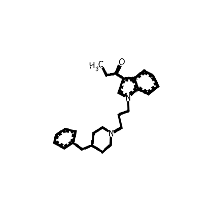 CCC(=O)c1cn(CCCN2CCC(Cc3ccccc3)CC2)c2ccccc12